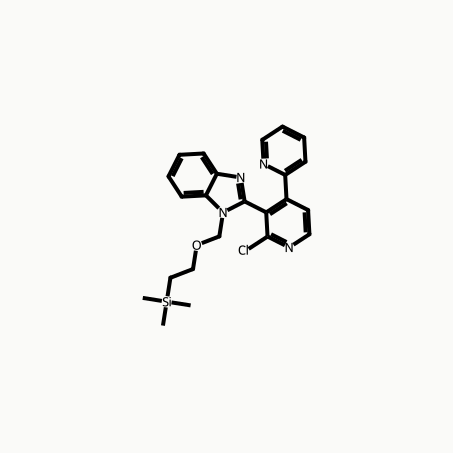 C[Si](C)(C)CCOCn1c(-c2c(-c3ccccn3)ccnc2Cl)nc2ccccc21